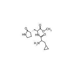 COC(=O)[C@H](C[C@@H]1CCNC1=O)NC(=O)C(N)CC1CC1